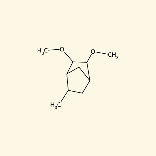 COC1C2CC(C)C(C2)C1OC